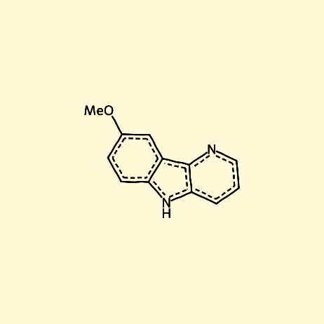 COc1ccc2[nH]c3cccnc3c2c1